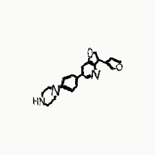 c1cc(-c2coc3cc(-c4ccc(N5CCNCC5)cc4)cnc23)co1